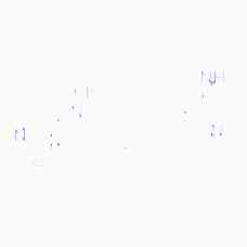 CN(c1cccc(/C=C/c2cncc(N)c2)c1)c1ccnc(Cl)n1